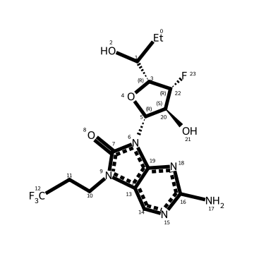 CCC(O)[C@H]1O[C@@H](n2c(=O)n(CCC(F)(F)F)c3cnc(N)nc32)[C@H](O)[C@H]1F